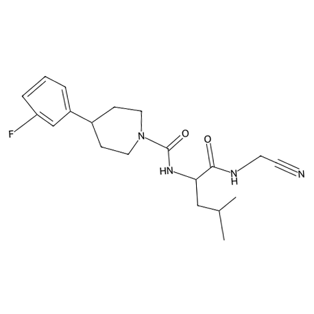 CC(C)CC(NC(=O)N1CCC(c2cccc(F)c2)CC1)C(=O)NCC#N